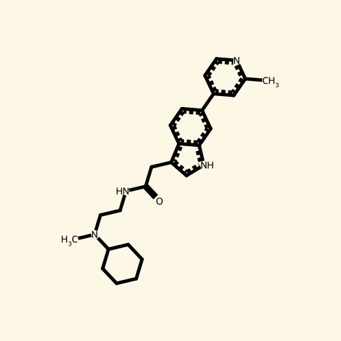 Cc1cc(-c2ccc3c(CC(=O)NCCN(C)C4CCCCC4)c[nH]c3c2)ccn1